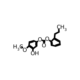 CCCc1ccccc1OC(=O)Oc1ccc(OC)c(O)c1